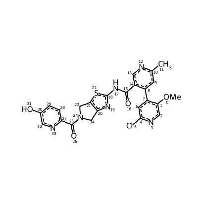 COc1cnc(Cl)cc1-c1cc(C)ncc1C(=O)Nc1nc2c(s1)CN(C(=O)c1ccc(O)cn1)C2